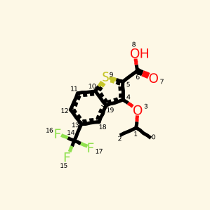 CC(C)Oc1c(C(=O)O)sc2ccc(C(F)(F)F)cc12